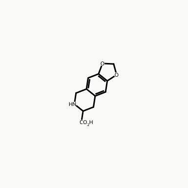 O=C(O)C1Cc2cc3c(cc2CN1)OCO3